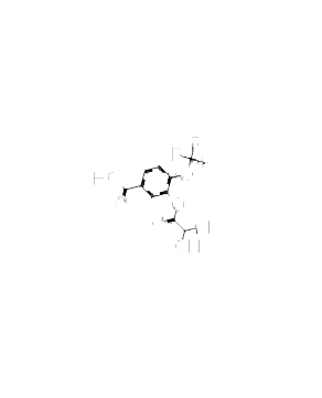 CC(C)C(=O)Oc1cc(C(=O)O)ccc1OC(F)(F)F